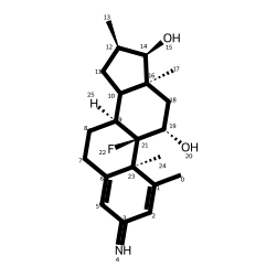 CC1=CC(=N)C=C2CC[C@H]3C4C[C@@H](C)[C@@H](O)[C@@]4(C)C[C@H](O)[C@]3(F)[C@@]12C